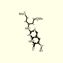 CCOc1cc2cnc(NC(CCOC)CCOC)nc2[nH]c1=O